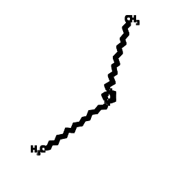 CCCCCCCCCCCCCCCCN1C=CN(CCCCCCCCCCCCCCC)C1